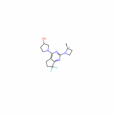 C[C@H]1CCN1c1nc(N2CCC(O)C2)c2c(n1)C(F)(F)CC2